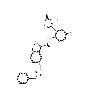 N#Cc1ccc(NC(=O)c2noc3ccc(NS(=O)(=O)Cc4ccccc4)cc23)c(-c2noc(=O)[nH]2)c1